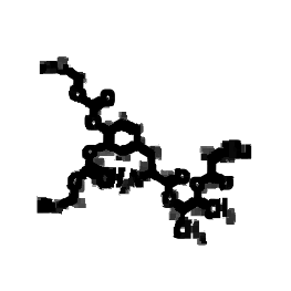 CCC(C)COC(=O)Oc1ccc(C[C@H](N)C(=O)O[C@@H](C)C(C)OC(=O)CC(C)(C)C)cc1OC(=O)OCC(C)CC